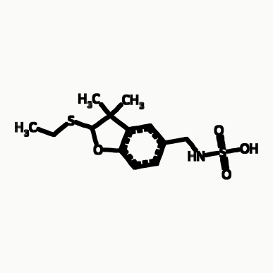 CCSC1Oc2ccc(CNS(=O)(=O)O)cc2C1(C)C